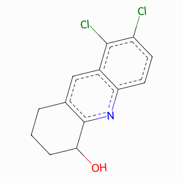 OC1CCCc2cc3c(Cl)c(Cl)ccc3nc21